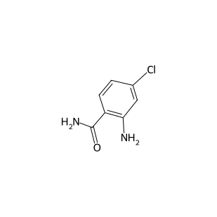 NC(=O)c1ccc(Cl)cc1N